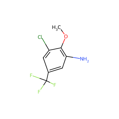 COc1c(N)cc(C(F)(F)F)cc1Cl